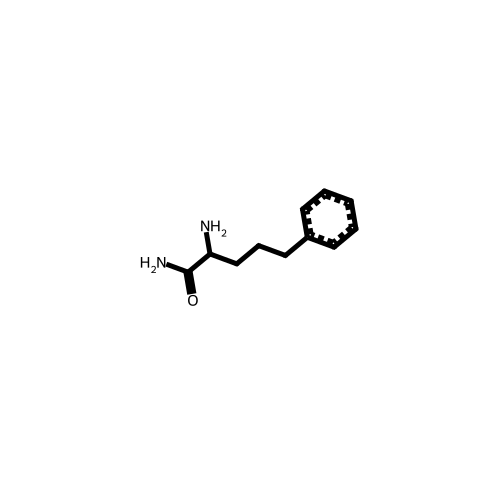 NC(=O)C(N)CCCc1ccccc1